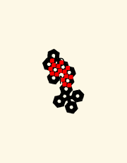 c1ccc(-c2ccccc2-c2c(-c3ccccc3)cccc2N(c2ccc3c(c2)-c2ccccc2C3(c2ccccc2)c2ccccc2)c2ccccc2-c2cccc3c2oc2ccccc23)cc1